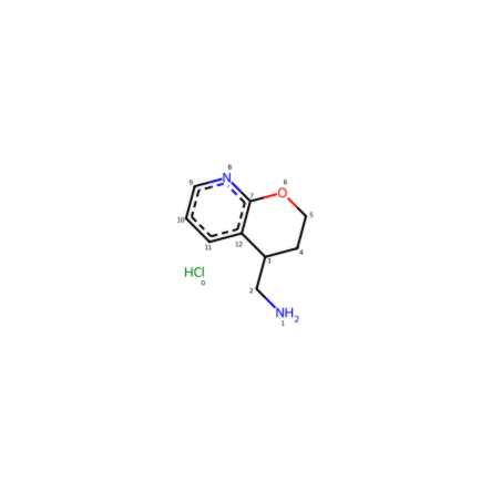 Cl.NCC1CCOc2ncccc21